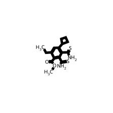 CCc1cc(C2CCC2)c(C(N)=S)c(C(N)=S)c1C(=O)OC